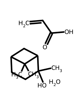 C=CC(=O)O.CC1(O)CCC2CC1C2(C)C.O